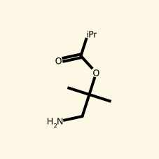 CC(C)C(=O)OC(C)(C)CN